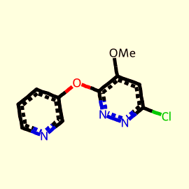 COc1cc(Cl)nnc1Oc1cccnc1